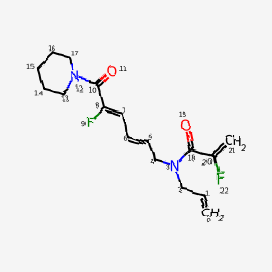 C=CCN(C/C=C/C=C(\F)C(=O)N1CCCCC1)C(=O)C(=C)F